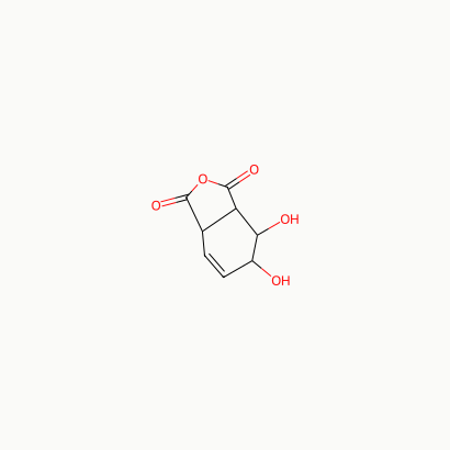 O=C1OC(=O)C2C1C=CC(O)C2O